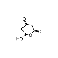 O=C1CC(=O)OB(O)O1